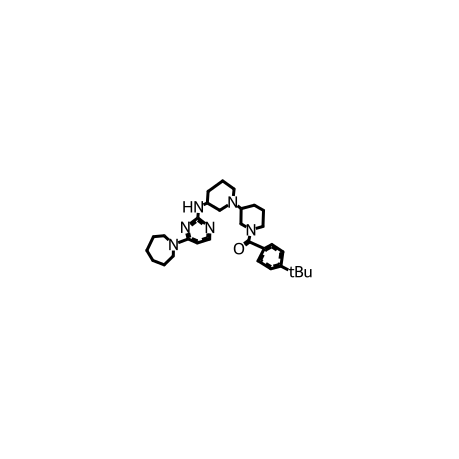 CC(C)(C)c1ccc(C(=O)N2CCCC(N3CCCC(Nc4nccc(N5CCCCCC5)n4)C3)C2)cc1